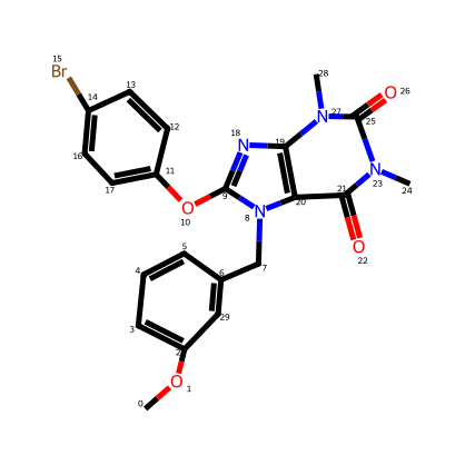 COc1cccc(Cn2c(Oc3ccc(Br)cc3)nc3c2c(=O)n(C)c(=O)n3C)c1